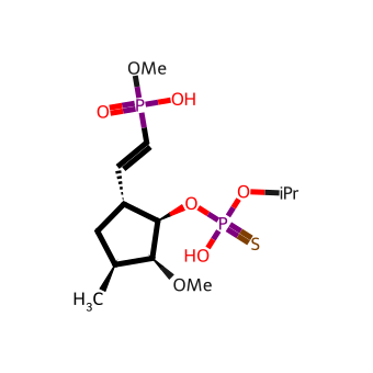 CO[C@@H]1[C@H](OP(O)(=S)OC(C)C)[C@@H](/C=C/P(=O)(O)OC)C[C@@H]1C